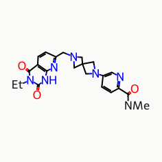 CCn1c(=O)[nH]c2nc(CN3CC4(C3)CN(c3ccc(C(=O)NC)nc3)C4)ccc2c1=O